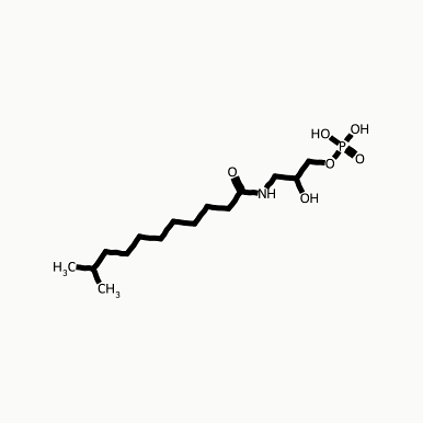 CC(C)CCCCCCCCC(=O)NCC(O)COP(=O)(O)O